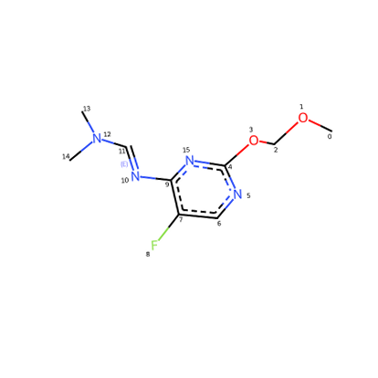 COCOc1ncc(F)c(/N=C/N(C)C)n1